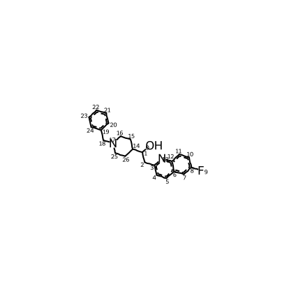 OC(Cc1ccc2cc(F)ccc2n1)C1CCN(Cc2ccccc2)CC1